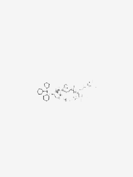 C[C@H](C=CCOC(c1ccccc1)(c1ccccc1)c1ccccc1)[C@H](C[C@@H](C=C[C@H](C)[C@H](O[Si](C)(C)C(C)(C)C)[C@@H](C)CCCO[Si](C)(C)C(C)(C)C)O[Si](C)(C)C(C)(C)C)O[Si](C)(C)C(C)(C)C